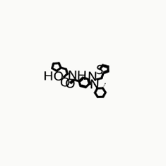 C[C@@H]1CCCC[C@H]1n1c(Cc2cccs2)nc2cc(C(=O)NC(CC3CCCC3)C(=O)O)ccc21